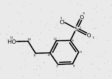 O=S(=O)(Cl)c1cccc(CCO)c1